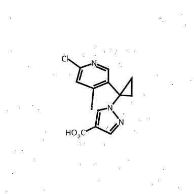 Cc1cc(Cl)ncc1C1(n2cc(C(=O)O)cn2)CC1